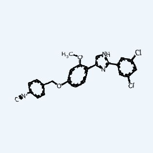 [C-]#[N+]c1ccc(COc2ccc(-c3c[nH]c(-c4cc(Cl)cc(Cl)c4)n3)c(OC)c2)cc1